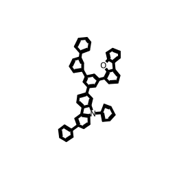 c1ccc(-c2cccc(-c3cc(-c4ccc5c6cc(-c7ccccc7)ccc6n(-c6ccccc6)c5c4)cc(-c4cccc5c4oc4ccccc45)c3)c2)cc1